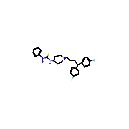 Fc1ccc(C(CCCN2CCC(NC(=S)Nc3ccccc3)CC2)c2ccc(F)cc2)cc1